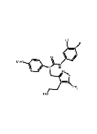 COc1ccc(N(Cc2n[nH]c(C(F)(F)F)c2CCO)C(=O)Nc2ccc(F)c(Cl)c2)cn1